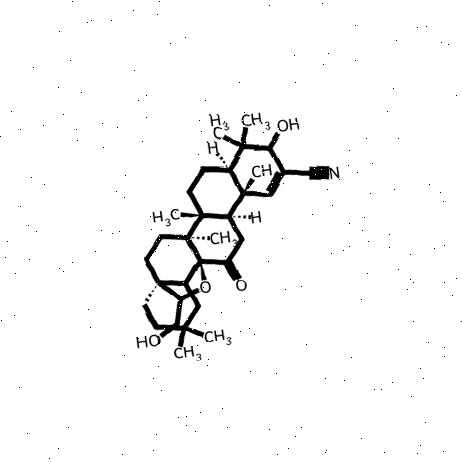 CC1(C)CC[C@@]23CC[C@]4(C)[C@](OC2CO)(C(=O)C[C@@H]2[C@@]5(C)C=C(C#N)C(O)C(C)(C)[C@@H]5CC[C@]24C)C3C1